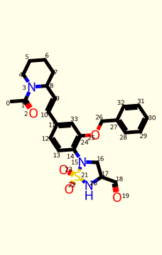 CC(=O)N1CCCCC1/C=C/c1ccc(N2CC(C=O)NS2(=O)=O)c(OCc2ccccc2)c1